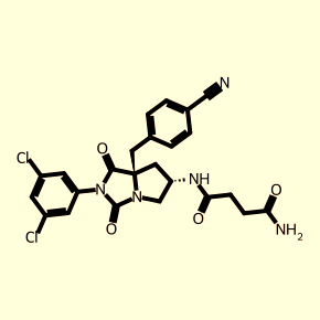 N#Cc1ccc(C[C@@]23C[C@H](NC(=O)CCC(N)=O)CN2C(=O)N(c2cc(Cl)cc(Cl)c2)C3=O)cc1